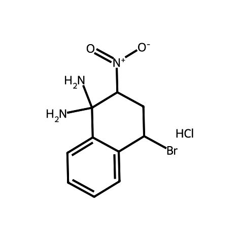 Cl.NC1(N)c2ccccc2C(Br)CC1[N+](=O)[O-]